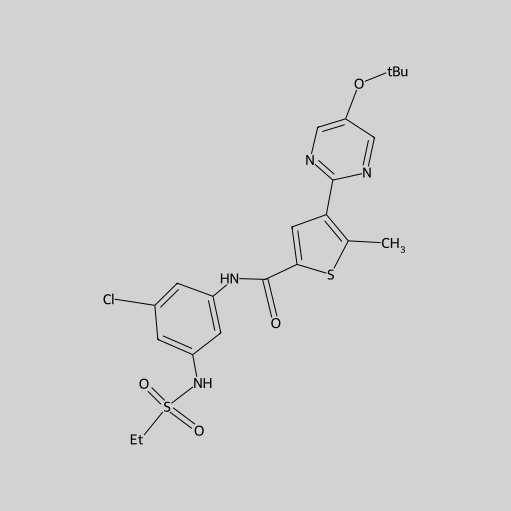 CCS(=O)(=O)Nc1cc(Cl)cc(NC(=O)c2cc(-c3ncc(OC(C)(C)C)cn3)c(C)s2)c1